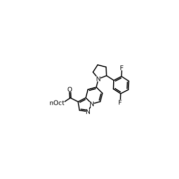 CCCCCCCCC(=O)c1cnn2ccc(N3CCCC3c3cc(F)ccc3F)cc12